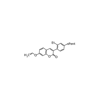 C=COc1ccc2cc(-c3ccc(CCCCC)cc3CC)c(=O)oc2c1